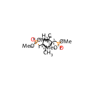 COP(=O)(Cc1cc(C)c(CP(=O)(OC)OC)cc1C)OC